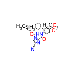 C[SiH2]CCOCn1cc(C#N)nc1C(=O)Nc1ccc(C2(C)OCCO2)cc1C1=CCCCC1